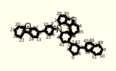 c1cc(-c2ccc(N(c3ccc(-c4ccc5c(c4)oc4ccccc45)cc3)c3cccc4sc5ccccc5c34)cc2)cc(-c2ccc3ccccc3c2)c1